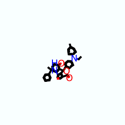 CCN(c1ccc(C)cc1)c1ccc2c(c1)Oc1ccccc1C21OC(=O)c2cccc(NC(C)c3ccccc3)c21